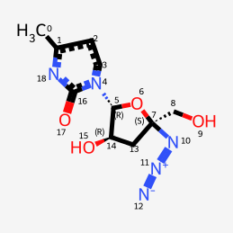 Cc1ccn([C@@H]2O[C@@](CO)(N=[N+]=[N-])C[C@H]2O)c(=O)n1